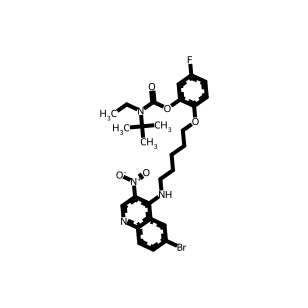 CCN(C(=O)Oc1cc(F)ccc1OCCCCCNc1c([N+](=O)[O-])cnc2ccc(Br)cc12)C(C)(C)C